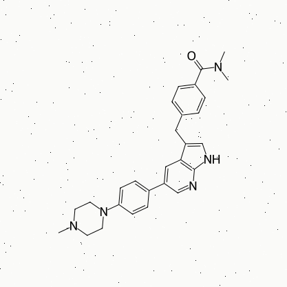 CN1CCN(c2ccc(-c3cnc4[nH]cc(Cc5ccc(C(=O)N(C)C)cc5)c4c3)cc2)CC1